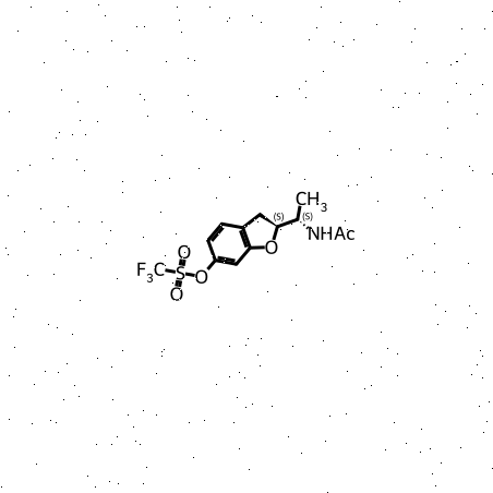 CC(=O)N[C@@H](C)[C@@H]1Cc2ccc(OS(=O)(=O)C(F)(F)F)cc2O1